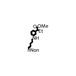 CCCCCCCCCC=CCCCNc1cccc(C(CC)C(=O)OC)c1